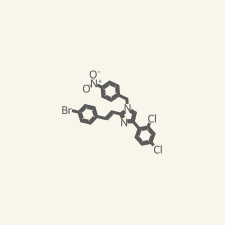 O=[N+]([O-])c1ccc(Cn2cc(-c3ccc(Cl)cc3Cl)nc2C=Cc2ccc(Br)cc2)cc1